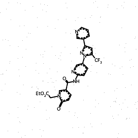 CCOC(=O)Cn1cc(C(=O)Nc2ccc(-n3nc(-c4cccnc4)cc3C(F)(F)F)cn2)ccc1=O